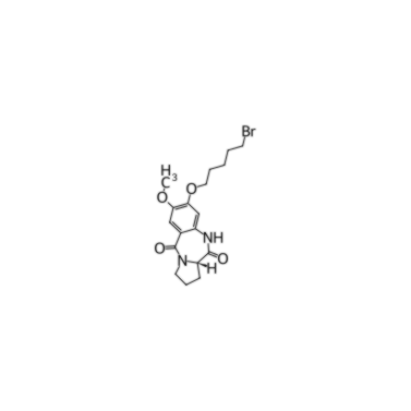 COc1cc2c(cc1OCCCCCBr)NC(=O)[C@@H]1CCCN1C2=O